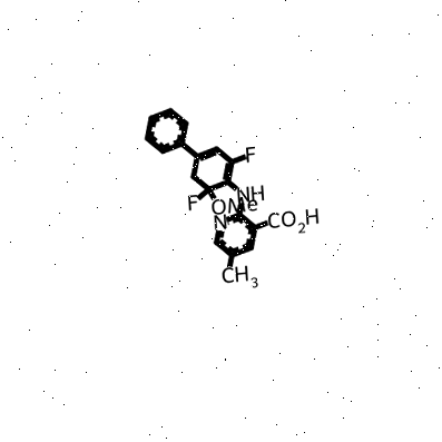 COC1(F)CC(c2ccccc2)=CC(F)=C1Nc1ncc(C)cc1C(=O)O